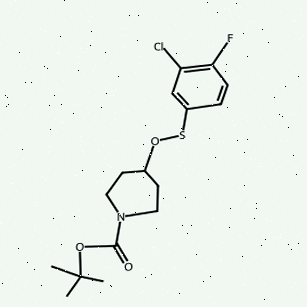 CC(C)(C)OC(=O)N1CCC(OSc2ccc(F)c(Cl)c2)CC1